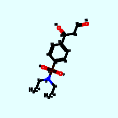 CCN(CC)S(=O)(=O)c1ccc(C(=O)CC=O)cc1